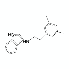 Cc1cc(C)cc(CCNc2c[nH]c3ccccc23)c1